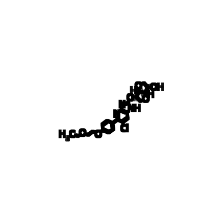 CCOCCOc1ccc(-c2nc3nc(O[C@@H]4CO[C@H]5[C@@H]4OC[C@H]5O)[nH]c3cc2Cl)cc1